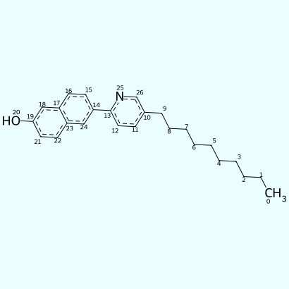 CCCCCCCCCCc1ccc(-c2ccc3cc(O)ccc3c2)nc1